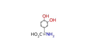 N[C@H](C(=O)O)c1ccc(O)c(O)c1